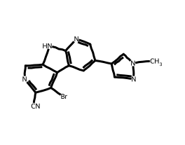 Cn1cc(-c2cnc3[nH]c4cnc(C#N)c(Br)c4c3c2)cn1